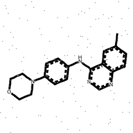 Cc1ccc2ncnc(Nc3ccc(N4CCOCC4)cc3)c2c1